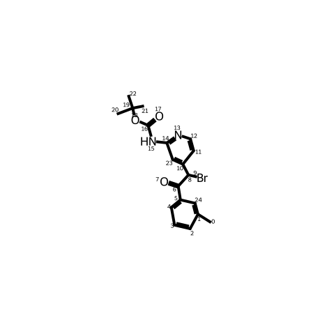 Cc1cccc(C(=O)C(Br)c2ccnc(NC(=O)OC(C)(C)C)c2)c1